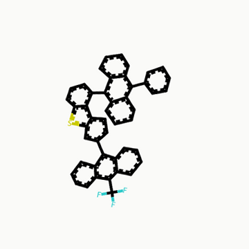 FC(F)(F)c1c2ccccc2c(-c2ccc3c(c2)sc2cccc(-c4c5ccccc5c(-c5ccccc5)c5ccccc45)c23)c2ccccc12